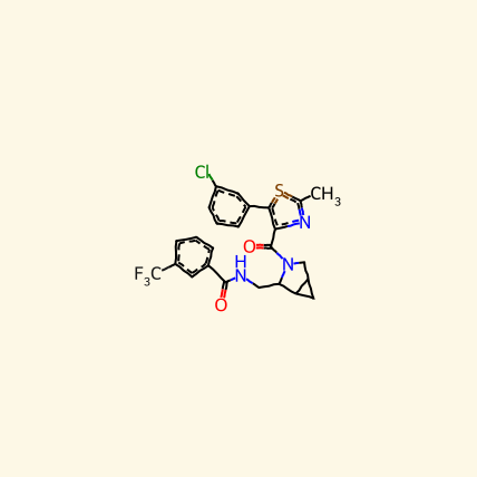 Cc1nc(C(=O)N2CC3CC3C2CNC(=O)c2cccc(C(F)(F)F)c2)c(-c2cccc(Cl)c2)s1